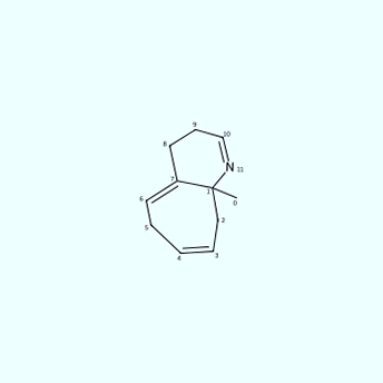 CC12CC=CCC=C1CCC=N2